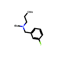 COCCN(Cc1cccc(F)c1)C(C)(C)C